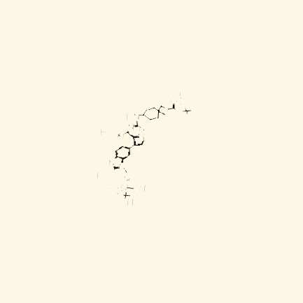 COc1nc(NC2CCC3(CC2)CN(C(=O)OC(C)(C)C)C3)nn2ccc(-c3ccc4nc(C)n(CCO[Si](C)(C)C(C)(C)C)c4c3)c12